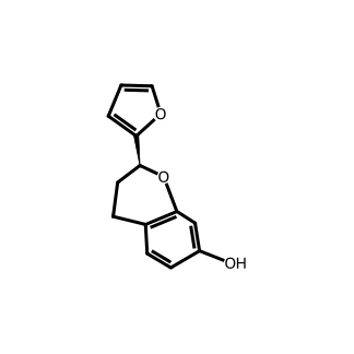 Oc1ccc2c(c1)O[C@H](c1ccco1)CC2